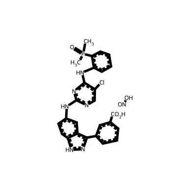 CP(C)(=O)c1ccccc1Nc1nc(Nc2ccc3[nH]nc(-c4cccc(C(=O)O)c4)c3c2)ncc1Cl.O=NO